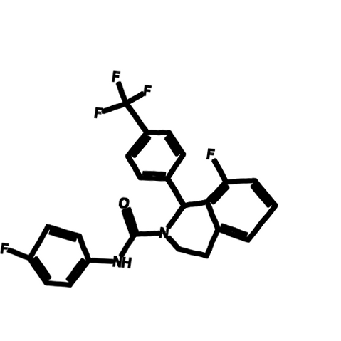 O=C(Nc1ccc(F)cc1)N1CCc2cccc(F)c2C1c1ccc(C(F)(F)F)cc1